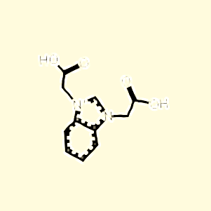 O=C(O)Cn1c[n+](CC(=O)O)c2ccccc21